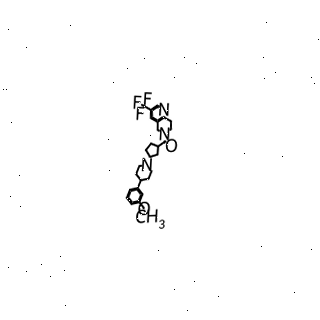 COc1cccc(C2CCN(C3CCC(C(=O)N4CCc5ncc(C(F)(F)F)cc5C4)C3)CC2)c1